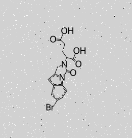 O=C(O)CCC(C(=O)O)N1Cc2cc3cc(Br)ccc3n2C1=O